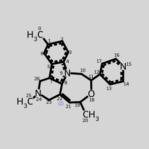 Cc1ccc2c(c1)c1c3n2CC(c2ccncc2)OC(C)/C=C\3CN(C)C1